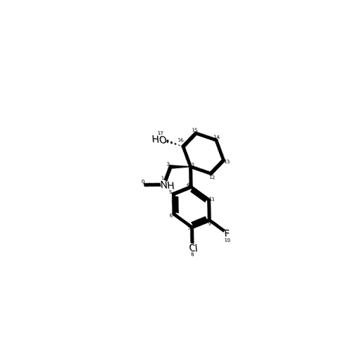 CNC[C@]1(c2ccc(Cl)c(F)c2)CCCC[C@H]1O